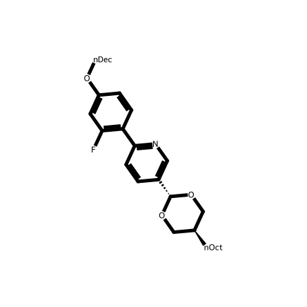 CCCCCCCCCCOc1ccc(-c2ccc([C@H]3OC[C@H](CCCCCCCC)CO3)cn2)c(F)c1